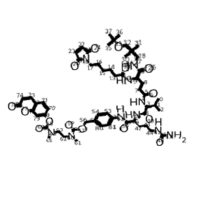 CC(C)C(NC(=O)CCC(NC(=O)CCCCCN1C(=O)C=CC1=O)C(=O)NCC(C)(C)COC(C)(C)C)C(=O)N[C@@H](CCCNC(N)=O)C(=O)Nc1ccc(COC(=O)N(C)CCN(C)C(=O)Oc2ccc3ccc(=O)oc3c2)cc1